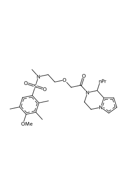 CCCC1c2cccn2CCN1C(=O)COCCN(C)S(=O)(=O)c1cc(C)c(OC)c(C)c1C